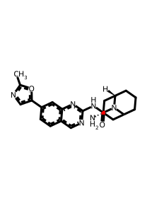 Cc1ncc(-c2ccc3cnc(NC(=O)N4C5CCC[C@H]4C[C@@H](N)C5)nc3c2)o1